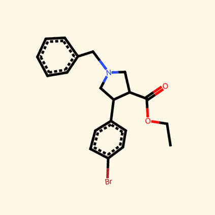 CCOC(=O)C1CN(Cc2ccccc2)CC1c1ccc(Br)cc1